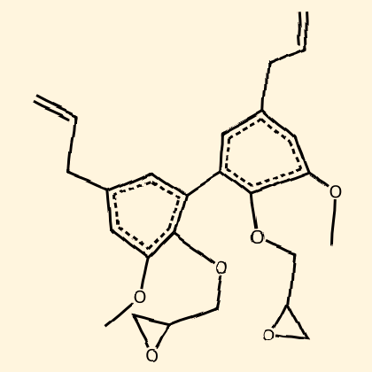 C=CCc1cc(OC)c(OCC2CO2)c(-c2cc(CC=C)cc(OC)c2OCC2CO2)c1